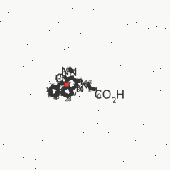 O=C(O)CCCn1cc(-c2ncnc3oc(-c4ccccc4)cc23)c(-c2ccc(F)cc2)n1